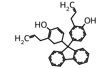 C=CCC1=C(O)C=CC(C2(c3ccc(O)c(CC=C)c3)c3ccccc3-c3ccccc32)C1